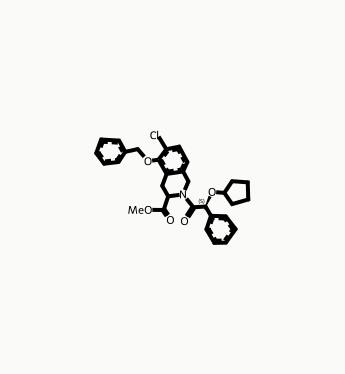 COC(=O)C1Cc2c(ccc(Cl)c2OCc2ccccc2)CN1C(=O)[C@@H](OC1CCCC1)c1ccccc1